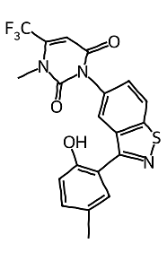 Cc1ccc(O)c(-c2nsc3ccc(-n4c(=O)cc(C(F)(F)F)n(C)c4=O)cc23)c1